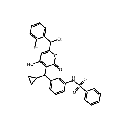 CCc1ccccc1C(CC)c1cc(O)c(C(c2cccc(NS(=O)(=O)c3ccccc3)c2)C2CC2)c(=O)o1